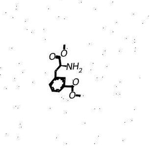 COC(=O)c1cccc(C[C@H](N)C(=O)OC)c1